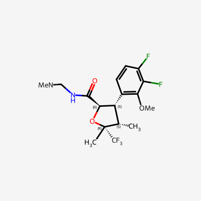 CNCNC(=O)[C@@H]1O[C@@](C)(C(F)(F)F)[C@@H](C)[C@H]1c1ccc(F)c(F)c1OC